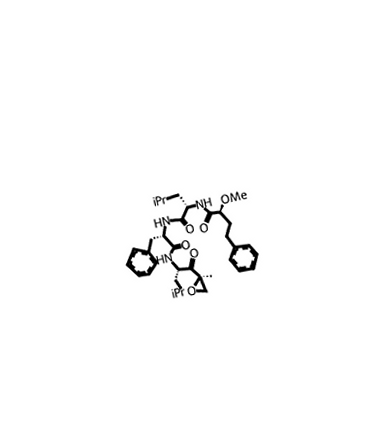 CO[C@@H](CCc1ccccc1)C(=O)N[C@@H](CC(C)C)C(=O)N[C@@H](Cc1ccccc1)C(=O)N[C@@H](CC(C)C)C(=O)[C@@]1(C)CO1